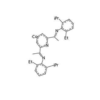 CCc1cccc(C(C)C)c1N=C(C)c1cccc(C(C)=Nc2c(CC)cccc2C(C)C)n1.[Co]